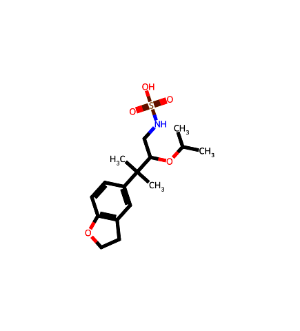 CC(C)OC(CNS(=O)(=O)O)C(C)(C)c1ccc2c(c1)CCO2